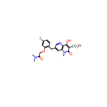 CCOC(=O)c1c(O)c2ncc(Cc3ccc(F)cc3OCC(=O)N(C)C)cc2n(C)c1=O